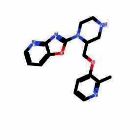 Cc1ncccc1OCC1CNCCN1c1nc2ncccc2o1